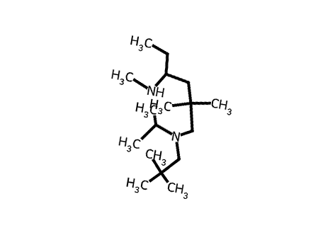 CCC(CC(C)(C)CN(CC(C)(C)C)C(C)C)NC